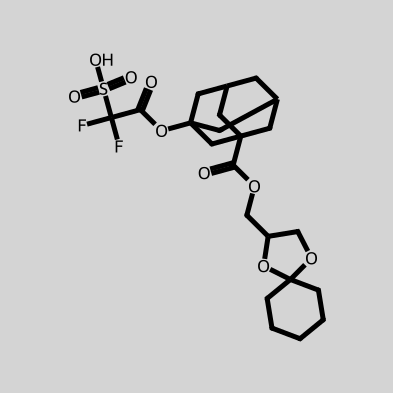 O=C(OCC1COC2(CCCCC2)O1)C12CC3CC(CC(OC(=O)C(F)(F)S(=O)(=O)O)(C3)C1)C2